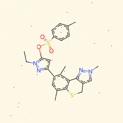 CCn1nc(-c2cc(C)c3c(c2C)-c2nn(C)cc2CS3)[c]c1OS(=O)(=O)c1ccc(C)cc1